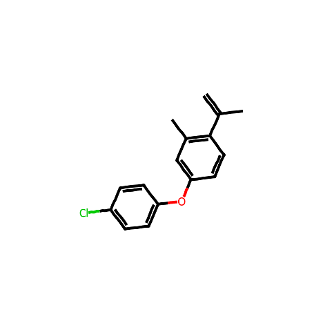 C=C(C)c1ccc(Oc2ccc(Cl)cc2)cc1C